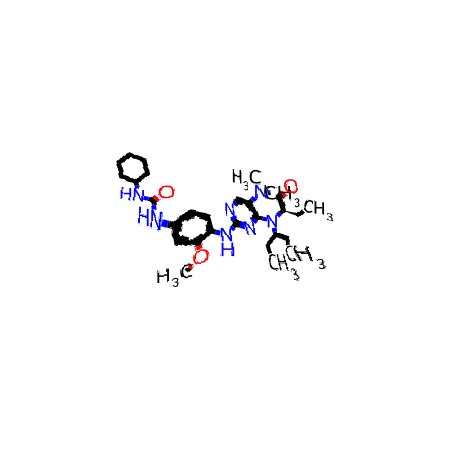 CCC(CC)N(c1nc(Nc2ccc(NC(=O)NC3CCCCC3)cc2OC)ncc1N(C)C)[C@@H](C=O)CC